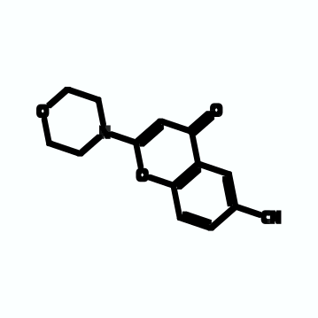 N#Cc1ccc2oc(N3CCOCC3)cc(=O)c2c1